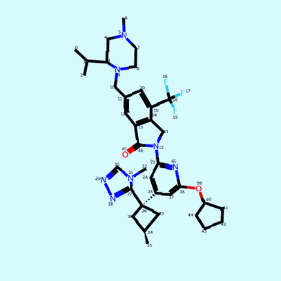 CC(C)C1CN(C)CCN1Cc1cc2c(c(C(F)(F)F)c1)CN(c1cc([C@]3(c4nncn4C)C[C@@H](C)C3)cc(OC3CCCC3)n1)C2=O